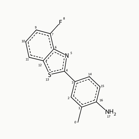 Cc1cc(-c2nc3c(F)cccc3s2)ccc1N